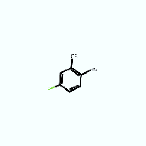 CC(C)(C)c1ccc(F)cc1C(F)(F)F